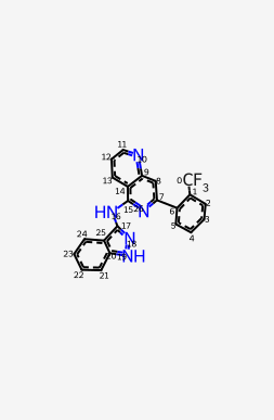 FC(F)(F)c1ccccc1-c1cc2ncccc2c(Nc2n[nH]c3ccccc23)n1